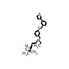 CCN(CC=CC#CC(C)(C)C)Cc1cccc(SCc2cccc(-c3ccsc3)c2)c1